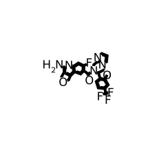 Nc1nc2cc(F)c(C(=O)N(Cc3ncccn3)C3COc4cc(C(F)(F)F)ccc43)cc2c2c1COC2